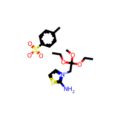 CCOC(C[n+]1ccsc1N)(OC)OCC.Cc1ccc(S(=O)(=O)[O-])cc1